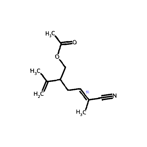 C=C(C)C(C/C=C(\C)C#N)COC(C)=O